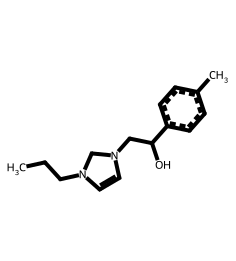 CCCN1C=CN(CC(O)c2ccc(C)cc2)C1